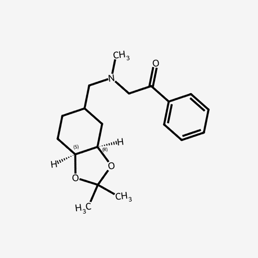 CN(CC(=O)c1ccccc1)CC1CC[C@@H]2OC(C)(C)O[C@@H]2C1